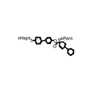 CCCCCCCSc1ccc(-c2ccc(OC(=O)C3(SCCCCC)C=CC(c4ccccc4)=CC3)cc2)cc1